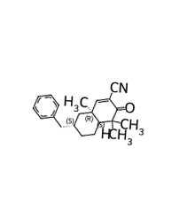 CC1(C)C(=O)C(C#N)=C[C@]2(C)C[C@@H](Cc3ccccc3)CC[C@H]12